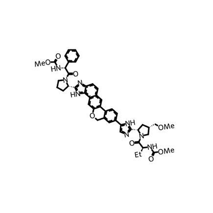 CC[C@H](NC(=O)OC)C(=O)N1C[C@@H](COC)C[C@H]1c1ncc(-c2ccc3c(c2)COc2cc4c(ccc5nc([C@@H]6CCCN6C(=O)[C@H](NC(=O)OC)c6ccccc6)[nH]c54)cc2-3)[nH]1